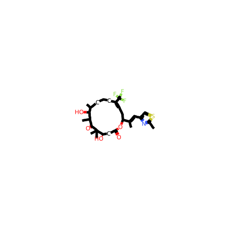 C/C(=C\c1csc(C)n1)C1C/C=C(/C(F)(F)F)CCCC(C)C(O)C(C)C(=O)C(C)(C)[C@@H](O)CC(=O)O1